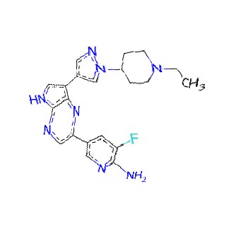 CCN1CCC(n2cc(-c3c[nH]c4ncc(-c5cnc(N)c(F)c5)nc34)cn2)CC1